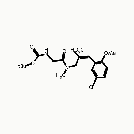 COc1ccc(Cl)cc1C=C(CN(C)C(=O)CNC(=O)OC(C)(C)C)C(=O)O